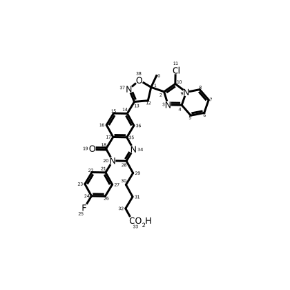 CC1(c2nc3ccccn3c2Cl)CC(c2ccc3c(=O)n(-c4ccc(F)cc4)c(CCCCC(=O)O)nc3c2)=NO1